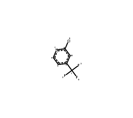 FC(F)(F)c1[c]cnc(Cl)c1